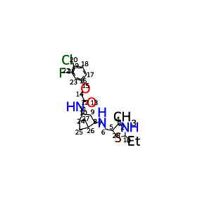 CCC1NC(C)C(CNC2CC(NC(=O)COc3ccc(Cl)c(F)c3)C3CC2C3)S1